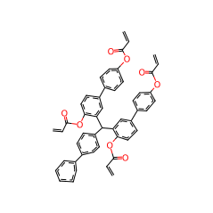 C=CC(=O)Oc1ccc(-c2ccc(OC(=O)C=C)c(C(c3ccc(-c4ccccc4)cc3)c3cc(-c4ccc(OC(=O)C=C)cc4)ccc3OC(=O)C=C)c2)cc1